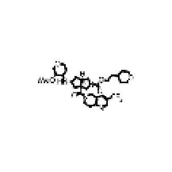 CO[C@H]1COCC[C@H]1N[C@@H]1C[C@H]2CN(C(=O)OCCC3CCOCC3)C[C@@]2(C(=O)N2CCc3ncc(C(F)(F)F)cc3C2)C1